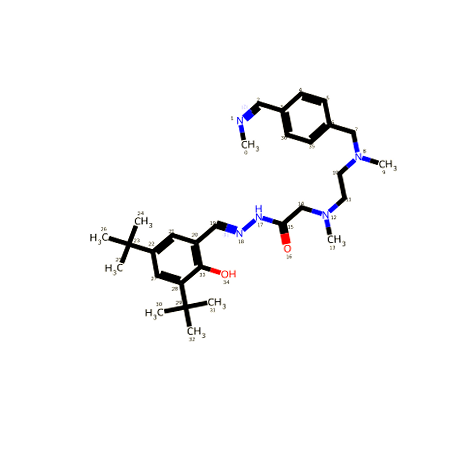 C/N=C\c1ccc(CN(C)CCN(C)CC(=O)N/N=C/c2cc(C(C)(C)C)cc(C(C)(C)C)c2O)cc1